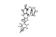 O=C1S/C(=C/c2ccc(-c3ccc(F)cc3)o2)C(=O)N1Cc1ccco1